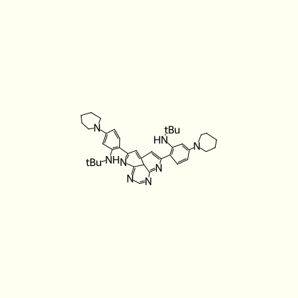 CC(C)(C)Nc1cc(N2CCCCC2)ccc1C1=CC2=CC(c3ccc(N4CCCCC4)cc3NC(C)(C)C)=NC3=NC=NC(=N1)C23